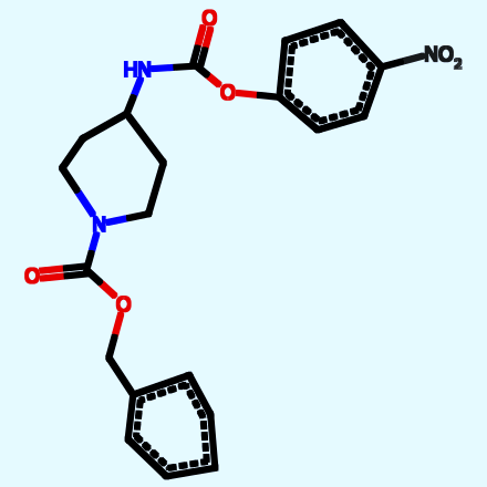 O=C(NC1CCN(C(=O)OCc2ccccc2)CC1)Oc1ccc([N+](=O)[O-])cc1